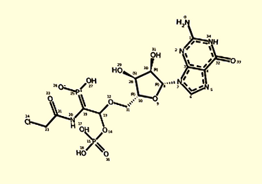 Nc1nc2c(ncn2[C@@H]2O[C@H](COC(OP(=O)(O)O)C(NC(=O)CCl)=[P+]([O-])O)[C@@H](O)[C@H]2O)c(=O)[nH]1